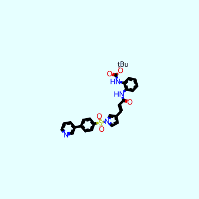 CC(C)(C)OC(=O)Nc1ccccc1NC(=O)C=Cc1ccn(S(=O)(=O)c2ccc(-c3cccnc3)cc2)c1